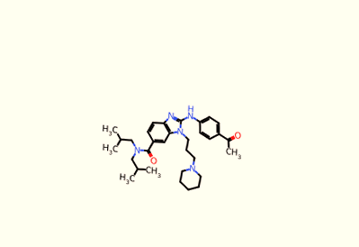 CC(=O)c1ccc(Nc2nc3ccc(C(=O)N(CC(C)C)CC(C)C)cc3n2CCCN2CCCCC2)cc1